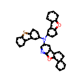 c1ccc2c(c1)ccc1c3cc(N(c4ccc5oc6ccccc6c5c4)c4ccc5sc6ccccc6c5c4)cnc3oc21